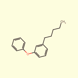 CCCC[CH]c1cccc(Oc2ccccc2)c1